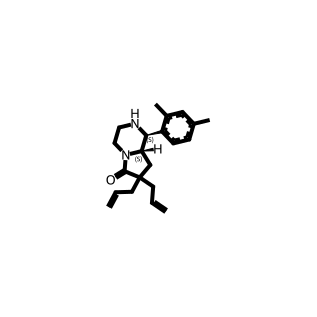 C=CCC1(CC=C)C[C@H]2[C@H](c3ccc(C)cc3C)NCCN2C1=O